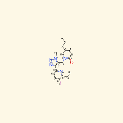 CCCc1ccc(=O)n(Cc2c(-c3ccc(I)c(CC)n3)nnn2C)c1